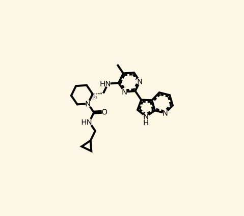 Cc1cnc(-c2c[nH]c3ncccc23)nc1NC[C@H]1CCCCN1C(=O)NCC1CC1